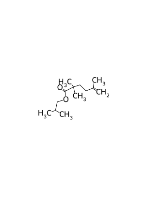 C=C(C)CCC(C)(C)C(=O)OCC(C)C